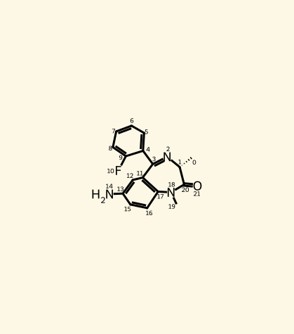 C[C@H]1N=C(c2ccccc2F)c2cc(N)ccc2N(C)C1=O